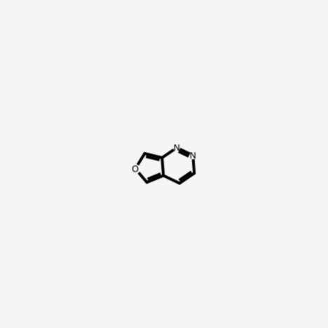 c1cc2cocc2nn1